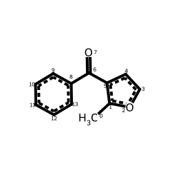 Cc1occc1C(=O)c1ccccc1